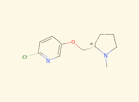 CN1CCC[C@H]1COc1ccc(Cl)nc1